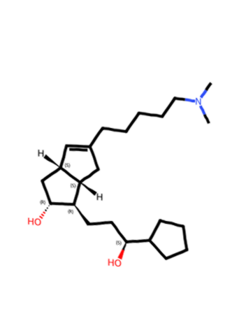 CN(C)CCCCCC1=C[C@H]2C[C@@H](O)[C@H](CC[C@H](O)C3CCCC3)[C@H]2C1